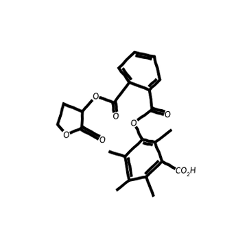 Cc1c(C)c(OC(=O)c2ccccc2C(=O)OC2CCOC2=O)c(C)c(C(=O)O)c1C